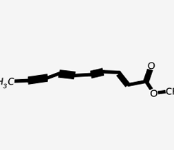 CC#CC#CC#C/C=C/C(=O)OC